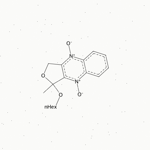 CCCCCCOC1(C)OCc2c1[n+]([O-])c1ccccc1[n+]2[O-]